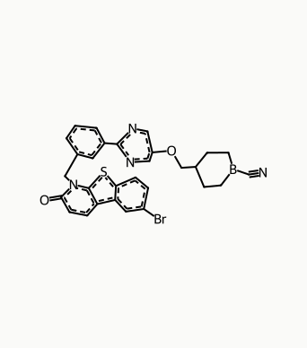 N#CB1CCC(COc2cnc(-c3cccc(Cn4c(=O)ccc5c6cc(Br)ccc6sc54)c3)nc2)CC1